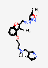 Cc1cc(NCc2oc3cccc(OCCCN(C)Cc4cccnc4)c3c2C)no1